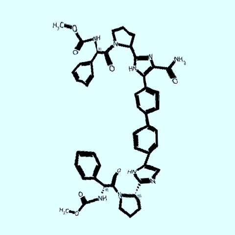 COC(=O)N[C@@H](C(=O)N1CCCC1c1nc(C(N)=O)c(-c2ccc(-c3ccc(-c4cnc([C@@H]5CCCN5C(=O)[C@H](NC(=O)OC)c5ccccc5)[nH]4)cc3)cc2)[nH]1)c1ccccc1